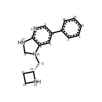 c1ccc(-c2cnc3c(c2)N(C[C@H]2CCN2)CN3)cc1